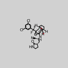 N#C[C@H](C[C@H]1CCNC1=O)NC(=O)[C@H]1[C@H]2CC[C@H](CC2(F)F)N1C(=O)C(F)(F)c1cc(Cl)cc(Cl)c1